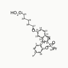 Cc1ccc(-n2c(S(=O)(=O)C(C)C)nc3ccc(OCCCCCC(=O)O)cc32)cc1